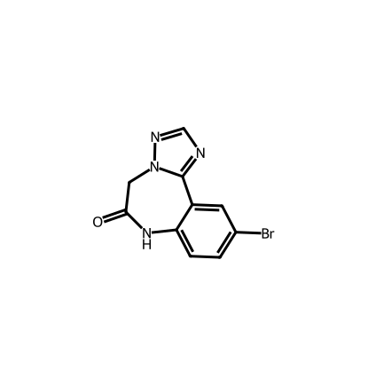 O=C1Cn2ncnc2-c2cc(Br)ccc2N1